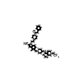 Cc1c(CN2CCC(Nc3ncnc4c3CCN(CC(F)(F)F)C4)CC2)ccc2c1cc(C#N)n2CCN1CCN(C(=O)Cc2ccccc2)CC1